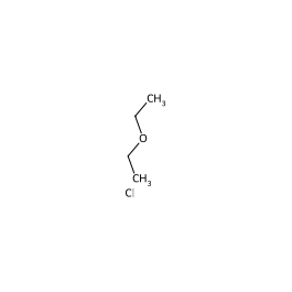 CCOCC.[C]